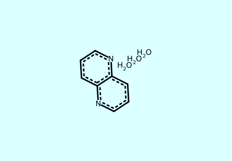 O.O.O.c1cnc2cccnc2c1